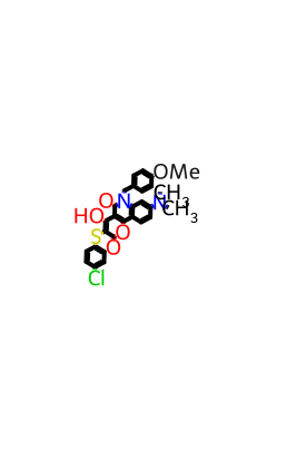 COc1ccc(Cn2c(=O)c3c(O)c(Sc4ccc(Cl)cc4)c(=O)oc3c3ccc(N(C)C)cc32)cc1